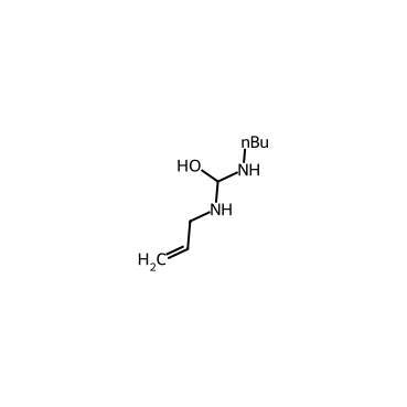 C=CCNC(O)NCCCC